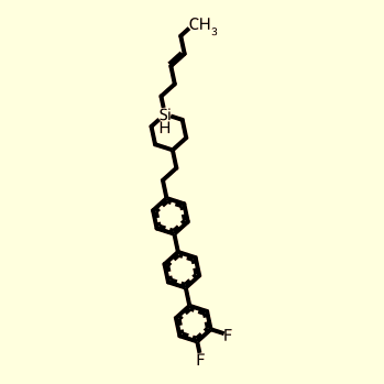 CC/C=C/CC[SiH]1CCC(CCc2ccc(-c3ccc(-c4ccc(F)c(F)c4)cc3)cc2)CC1